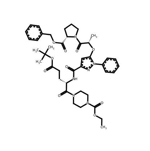 CCOC(=O)N1CCN(C(=O)[C@H](CCC(=O)OC(C)(C)C)NC(=O)c2cc(O[C@@H](C)C(=O)N3CCC[C@H]3C(=O)OCc3ccccc3)n(-c3ccccc3)n2)CC1